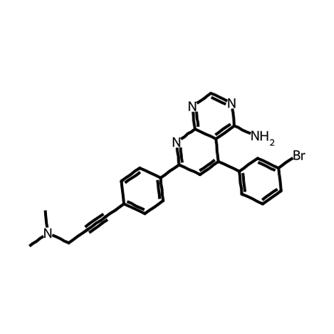 CN(C)CC#Cc1ccc(-c2cc(-c3cccc(Br)c3)c3c(N)ncnc3n2)cc1